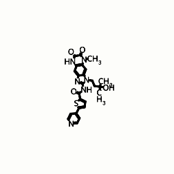 Cn1c(=O)c(=O)[nH]c2cc3nc(NC(=O)c4ccc(-c5ccncc5)s4)n(CCC(C)(C)O)c3cc21